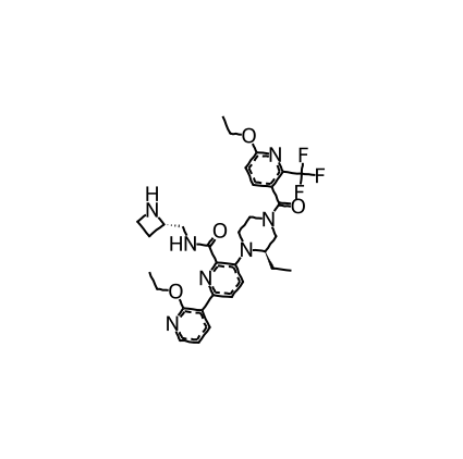 CCOc1ccc(C(=O)N2CCN(c3ccc(-c4cccnc4OCC)nc3C(=O)NC[C@@H]3CCN3)[C@H](CC)C2)c(C(F)(F)F)n1